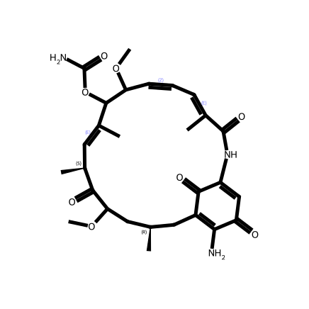 COC1C[C@H](C)CC2=C(N)C(=O)C=C(NC(=O)/C(C)=C/C=C\C(OC)C(OC(N)=O)/C(C)=C/[C@H](C)C1=O)C2=O